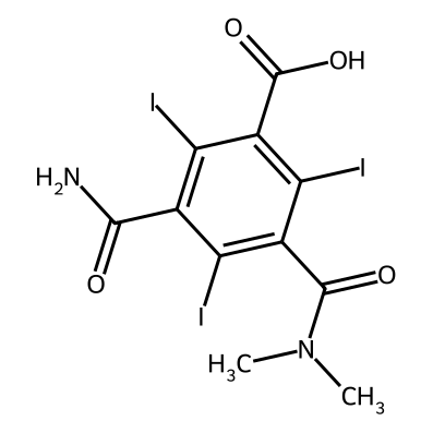 CN(C)C(=O)c1c(I)c(C(N)=O)c(I)c(C(=O)O)c1I